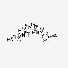 N#Cc1cccc(C(=O)Nc2noc3ccc(NNC(=O)N=N)cc23)c1